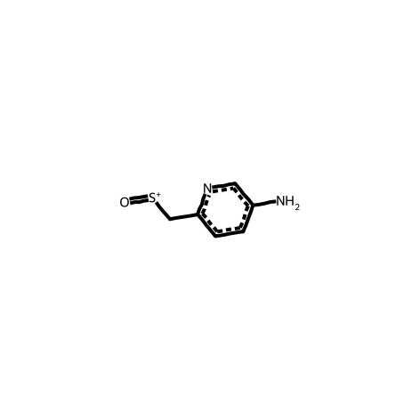 Nc1ccc(C[S+]=O)nc1